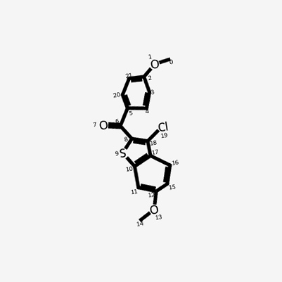 COc1ccc(C(=O)c2sc3cc(OC)ccc3c2Cl)cc1